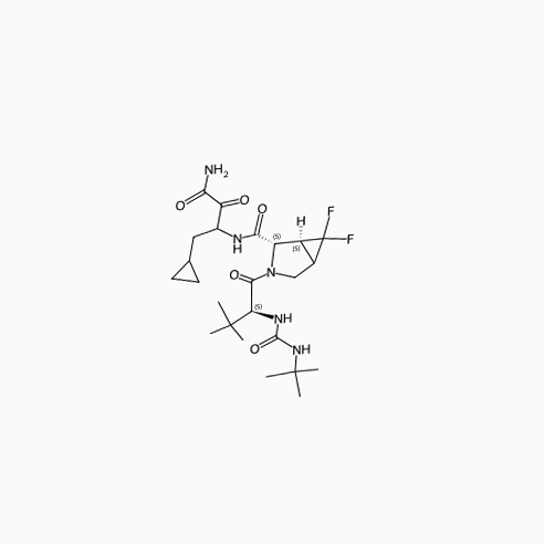 CC(C)(C)NC(=O)N[C@H](C(=O)N1CC2[C@@H]([C@H]1C(=O)NC(CC1CC1)C(=O)C(N)=O)C2(F)F)C(C)(C)C